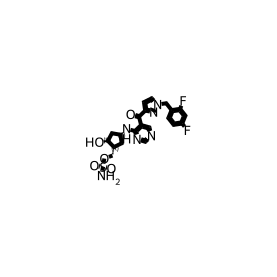 NS(=O)(=O)OC[C@H]1C[C@@H](Nc2ncncc2C(=O)c2ccn(Cc3ccc(F)cc3F)n2)C[C@@H]1O